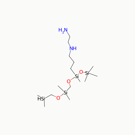 C[SiH](C)CO[Si](C)(C)CO[Si](C)(CCCNCCN)O[Si](C)(C)C